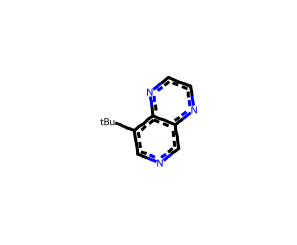 CC(C)(C)c1cncc2nccnc12